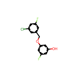 Oc1cc(F)cc(OCc2cc(F)cc(Cl)c2)c1